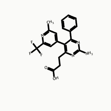 Cc1cc(-c2c(CCC(=O)O)nc(N)nc2-c2ccccc2)cc(C(F)(F)F)n1